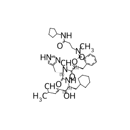 CC(C)CC[C@H](O)[C@H](CC1CCCCC1)NC(=O)[C@H](Cc1c[nH]cn1)N(C)C(=O)[C@H](Cc1ccccc1)OC(=O)N(C)CCC(=O)NC1CCCC1